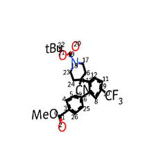 COC(=O)c1ccc(-c2cc(C(F)(F)F)ccc2C2(C#N)CCN(C(=O)OC(C)(C)C)CC2)cc1